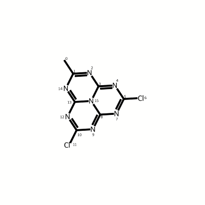 CC1=NC2=NC(Cl)=NC3=NC(Cl)=NC(=N1)N23